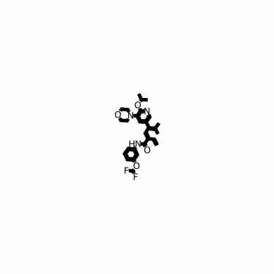 C=C/C(=C\C(=C(C)C)c1cnc(OC(C)C)c(N2CCOCC2)c1)C(=O)Nc1cccc(OC(F)F)c1